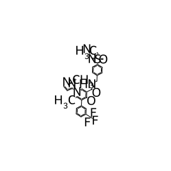 CCS(=O)(=NC#N)c1ccc(CNC(=O)c2cn(-c3ccnn3C)c(C)c(-c3cccc(C(F)(F)F)c3)c2=O)cc1